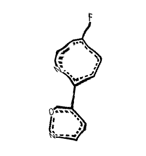 Fc1ccc(-c2ccno2)nc1